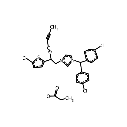 CC#CCOC(C[n+]1ccn(C(c2ccc(Cl)cc2)c2ccc(Cl)cc2)c1)c1ccc(Cl)s1.CCC(=O)[O-]